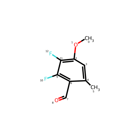 COc1cc(C)c(C=O)c(F)c1F